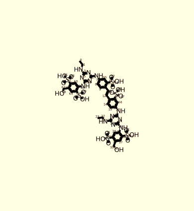 CCNc1nc(Nc2ccc(C=Cc3ccc(Nc4nc(NCC)nc(Nc5cc(S(=O)(=O)O)c(CO)cc5S(=O)(=O)O)n4)cc3S(=O)(=O)O)c(S(=O)(=O)O)c2)nc(Nc2cc(S(=O)(=O)O)c(CO)cc2S(=O)(=O)O)n1